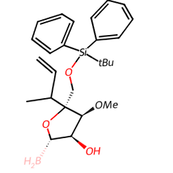 B[C@@H]1O[C@@](CO[Si](c2ccccc2)(c2ccccc2)C(C)(C)C)(C(C)C=C)[C@@H](OC)[C@H]1O